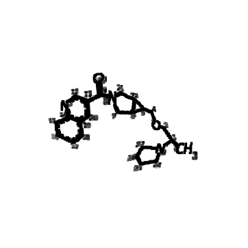 CC(COCC1C2CN(C(=O)c3cnc4ccccc4c3)CC12)N1CCCC1